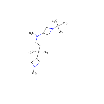 CN1CC(C(C)(C)CCN(C)C2CN(C(C)(C)C)C2)C1